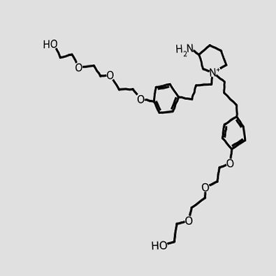 NC1CCC[N+](CCCc2ccc(OCCOCCOCCO)cc2)(CCCc2ccc(OCCOCCOCCO)cc2)C1